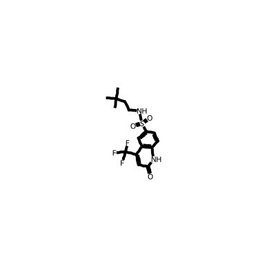 CC(C)(C)CCNS(=O)(=O)c1ccc2[nH]c(=O)cc(C(F)(F)F)c2c1